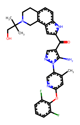 Cc1cc(Oc2c(F)cccc2F)ncc1-n1ncc(C(=O)c2cc3c4c(ccc3[nH]2)CCN(C(C)(C)CO)C4)c1N